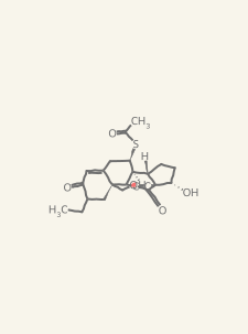 CCC1C[C@]23COC(=O)[C@]45CCC2[C@@H]([C@H](SC(C)=O)CC3=CC1=O)[C@@H]4CC[C@@H]5O